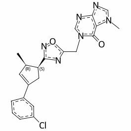 C[C@@H]1C=C(c2cccc(Cl)c2)C[C@@H]1c1noc(Cn2cnc3ncn(C)c3c2=O)n1